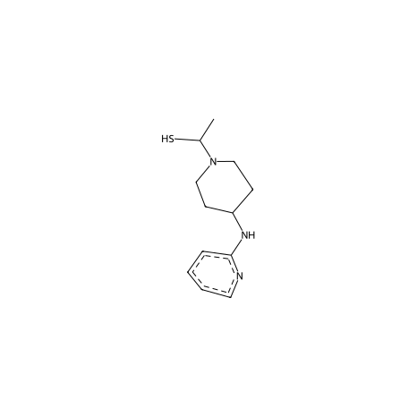 CC(S)N1CCC(Nc2ccccn2)CC1